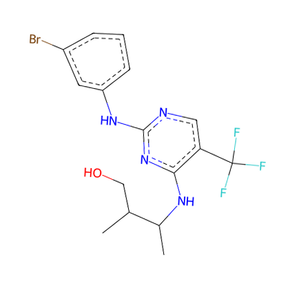 CC(CO)C(C)Nc1nc(Nc2cccc(Br)c2)ncc1C(F)(F)F